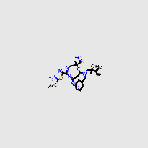 C=CC(=C)C(C)(CN(CC1CCCCC1)C1C/C(N)=N\C(C(=N)OC(N)OC)=N/CC(C)(/C=N\C)C1)OC